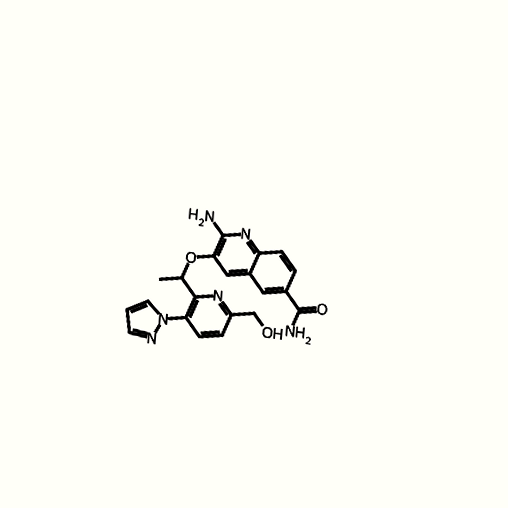 CC(Oc1cc2cc(C(N)=O)ccc2nc1N)c1nc(CO)ccc1-n1cccn1